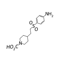 Nc1ccc(S(=O)(=O)CCC2CCN(C(=O)O)CC2)cc1